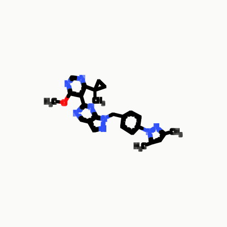 COc1ncnc(C2(C)CC2)c1-c1ncc2cnn(Cc3ccc(-n4nc(C)cc4C)cc3)c2n1